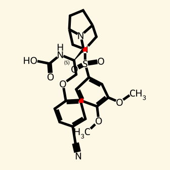 COc1ccc(S(=O)(=O)N2CC3CCC(C2)N3C[C@@H](COc2ccc(C#N)cc2)NC(=O)O)cc1OC